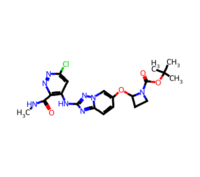 CNC(=O)c1nnc(Cl)cc1Nc1nc2ccc(OC3CCN3C(=O)OC(C)(C)C)cn2n1